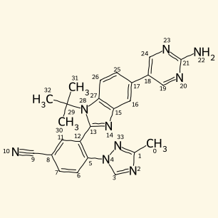 Cc1ncn(-c2ccc(C#N)cc2-c2nc3cc(-c4cnc(N)nc4)ccc3n2C(C)(C)C)n1